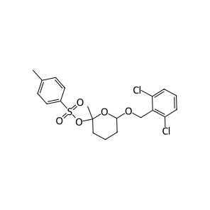 Cc1ccc(S(=O)(=O)OC2(C)CCCC(OCc3c(Cl)cccc3Cl)O2)cc1